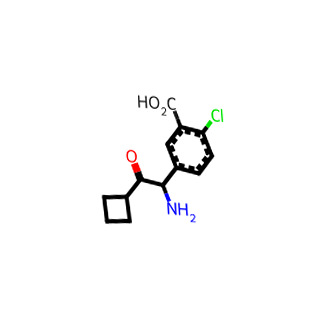 NC(C(=O)C1CCC1)c1ccc(Cl)c(C(=O)O)c1